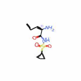 C=C/C=C(/N)C(=O)NS(=O)(=O)C1CC1